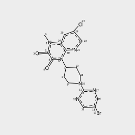 Cn1c(=O)c(=O)n(C2CCN(c3ncc(Br)cn3)CC2)c2ncc(Cl)cc21